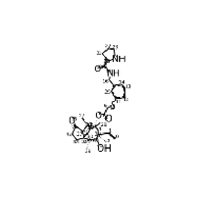 C=C[C@]1(C)C[C@@H](OC(=O)CSc2cccc(CNC(=O)[C@H]3CCCN3)c2)[C@]2(C)C(C)CCC3(CCC(=O)C32)[C@@H](C)[C@@H]1O